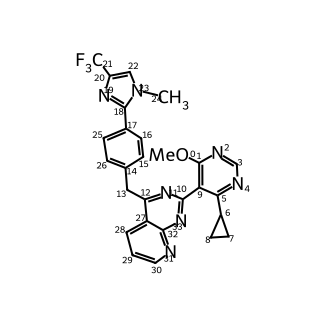 COc1ncnc(C2CC2)c1-c1nc(Cc2ccc(-c3nc(C(F)(F)F)cn3C)cc2)c2cccnc2n1